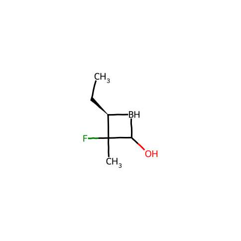 CC[C@H]1BC(O)C1(C)F